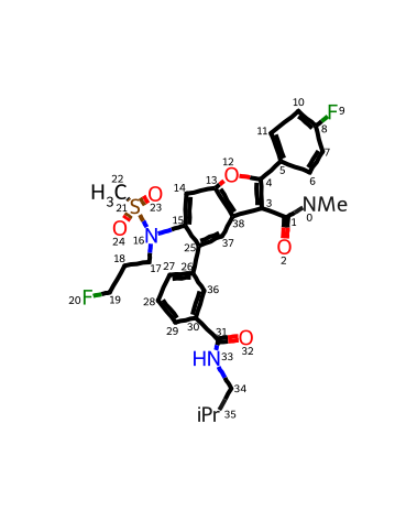 CNC(=O)c1c(-c2ccc(F)cc2)oc2cc(N(CCCF)S(C)(=O)=O)c(-c3cccc(C(=O)NCC(C)C)c3)cc12